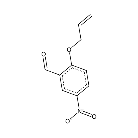 C=CCOc1ccc([N+](=O)[O-])cc1C=O